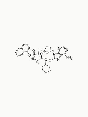 C[C@H](NP(=O)(OC[C@@H]1CC[C@H](n2c(Cl)nc3c(N)ncnc32)O1)Oc1cccc2ccccc12)C(=O)OC1CCCCC1